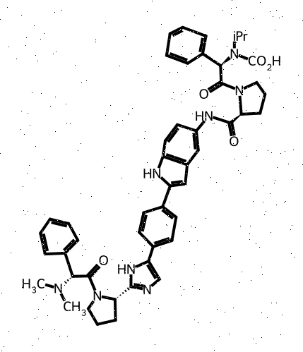 CC(C)N(C(=O)O)[C@@H](C(=O)N1CCC[C@H]1C(=O)Nc1ccc2[nH]c(-c3ccc(-c4cnc([C@@H]5CCCN5C(=O)[C@@H](c5ccccc5)N(C)C)[nH]4)cc3)cc2c1)c1ccccc1